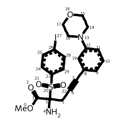 COC(=O)C(N)(CC#Cc1cccc(N2CCOCC2)c1)S(=O)(=O)c1ccc(I)cc1